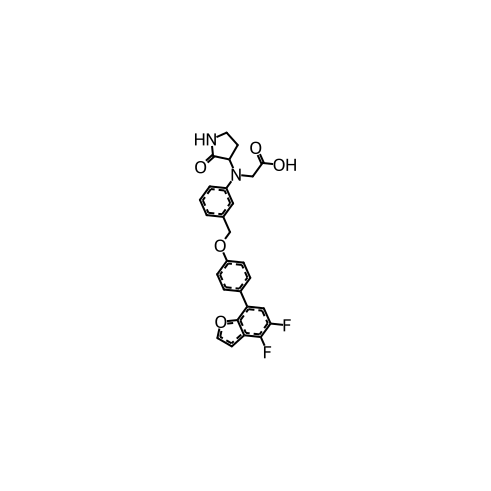 O=C(O)CN(c1cccc(COc2ccc(-c3cc(F)c(F)c4ccoc34)cc2)c1)C1CCNC1=O